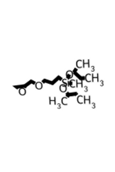 CCC(C)O[Si](C)(CCCOCC1CO1)OC(C)CC